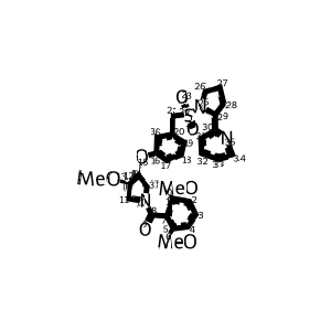 COc1cccc(OC)c1C(=O)N1C[C@@H](OC)[C@H](Oc2cccc(CS(=O)(=O)N3CCCC3c3ccccn3)c2)C1